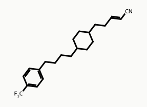 N#CC=CCCC1CCC(CCCCc2ccc(C(F)(F)F)cc2)CC1